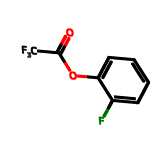 O=C(Oc1ccccc1F)C(F)(F)F